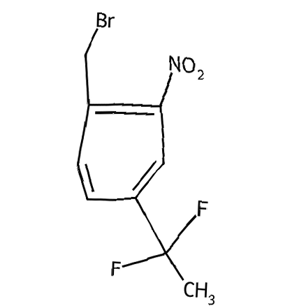 CC(F)(F)c1ccc(CBr)c([N+](=O)[O-])c1